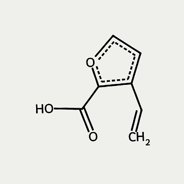 C=Cc1ccoc1C(=O)O